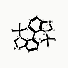 CC(C)(C)P1CNc2cccc(-c3cccc4c3P(C(C)(C)C)CN4)c21